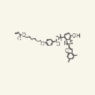 C=CC(=O)OCCCCCCOc1ccc(C(=O)OC(C)(C)c2ccc(O)c3sc(-c4cc5c(C)cc(C)cc5o4)nc23)cc1